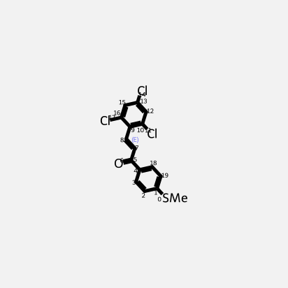 CSc1ccc(C(=O)/C=C/c2c(Cl)cc(Cl)cc2Cl)cc1